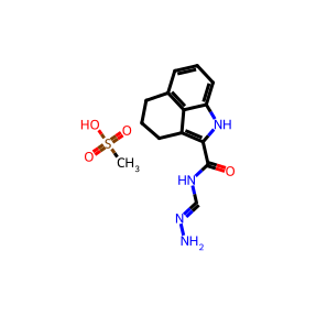 CS(=O)(=O)O.NN=CNC(=O)c1[nH]c2cccc3c2c1CCC3